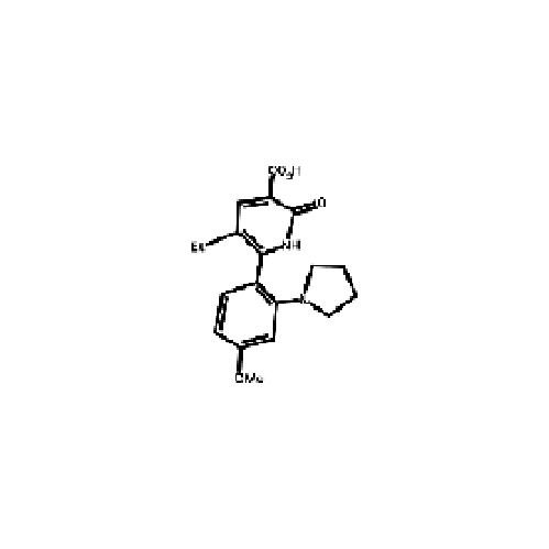 CCc1cc(C(=O)O)c(=O)[nH]c1-c1ccc(OC)cc1N1CCCC1